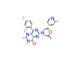 Cc1cc([C@H]2CN(c3nc(-c4ccc(F)cc4F)c4nc(C)n(C)c(=O)c4n3)C[C@H](C)O2)ccn1